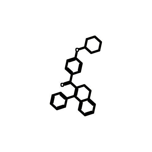 O=C(C1=C(c2ccccc2)c2ccccc2CC1)c1ccc(OC2CCCCC2)cc1